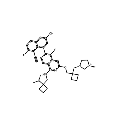 C#Cc1c(F)ccc2cc(O)cc(-c3ncc4c(NCC5(N(C)C)CCC5)nc(OCC5(CN6CC[C@@H](F)C6)CCC5)nc4c3F)c12